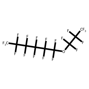 FC(F)(F)C(F)(F)C(F)(F)OC(F)(F)C(F)(F)C(F)(F)C(F)(F)C(F)(F)C(F)(F)F